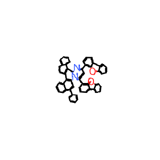 c1ccc(-c2ccc(-c3ccc4ccccc4c3-c3nc(-c4cccc5c4oc4ccccc45)cc(-c4cccc5c4oc4ccccc45)n3)c3ccccc23)cc1